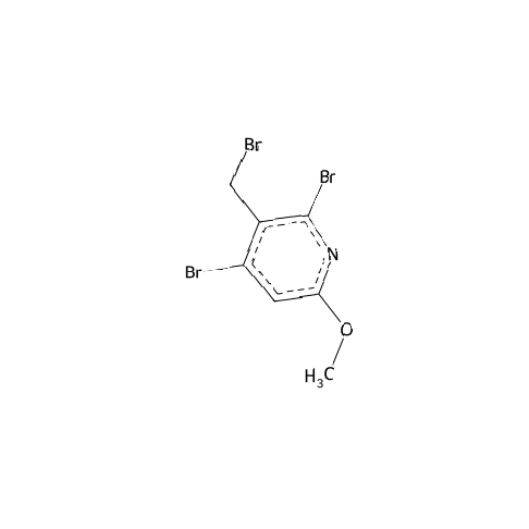 COc1cc(Br)c(CBr)c(Br)n1